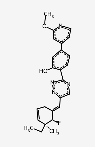 CC[C@@]1(C)C=CC/C(=C\c2cnc(-c3ccc(-c4ccnc(OC)c4)cc3O)nn2)[C@H]1F